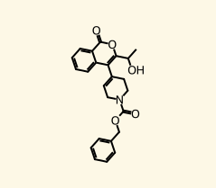 CC(O)c1oc(=O)c2ccccc2c1C1=CCN(C(=O)OCc2ccccc2)CC1